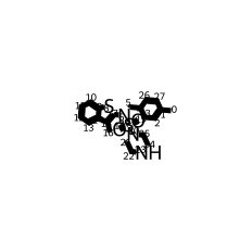 CC1=CCC(CN(c2sc3ccccc3c2C)S(=O)(=O)N2CCNCC2)C=C1